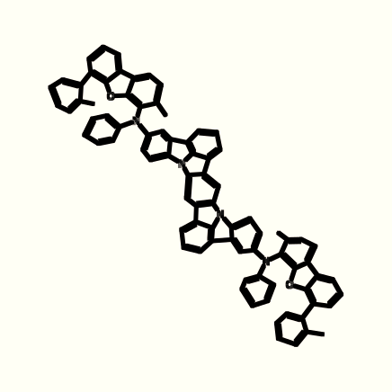 Cc1ccccc1-c1cccc2c1oc1c(N(c3ccccc3)c3ccc4c(c3)c3cccc5c6cc7c(cc6n4c35)c3cccc4c5cc(N(c6ccccc6)c6c(C)ccc8c6oc6c(-c9ccccc9C)cccc68)ccc5n7c43)c(C)ccc12